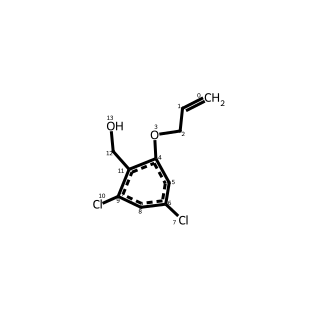 C=CCOc1cc(Cl)cc(Cl)c1CO